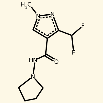 Cn1cc(C(=O)NN2CCCC2)c(C(F)F)n1